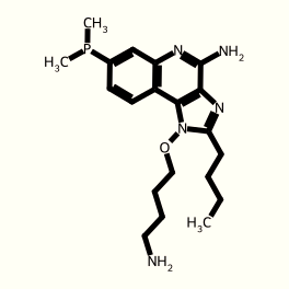 CCCCc1nc2c(N)nc3cc(P(C)C)ccc3c2n1OCCCCN